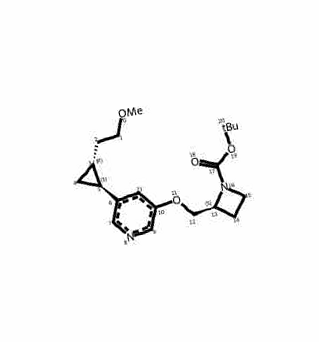 COCC[C@H]1C[C@@H]1c1cncc(OC[C@@H]2CCN2C(=O)OC(C)(C)C)c1